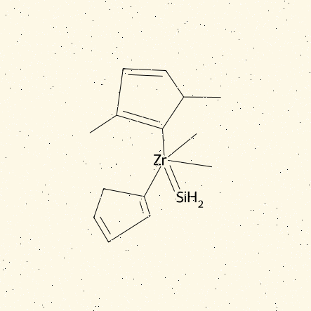 CC1=[C]([Zr]([CH3])([CH3])(=[SiH2])[C]2=CC=CC2)C(C)C=C1